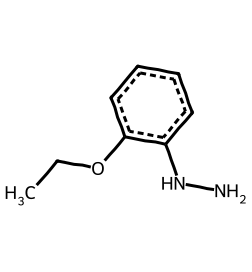 CCOc1ccccc1NN